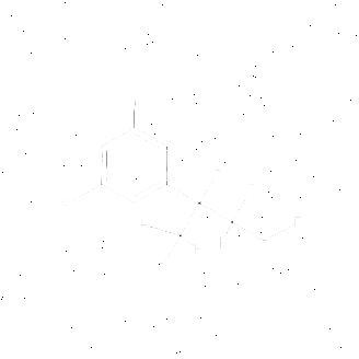 FCC(F)(F)C(F)(c1cc(Br)[c]c(I)c1)C(F)(F)F